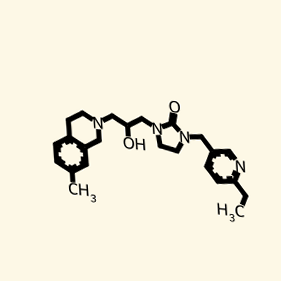 CCc1ccc(CN2CCN(CC(O)CN3CCc4ccc(C)cc4C3)C2=O)cn1